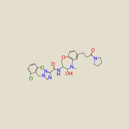 CN1c2cc(CCC(=O)N3CCCC3)ccc2OCC(NC(=O)c2ncn(Cc3c(Cl)cccc3Cl)n2)C1O